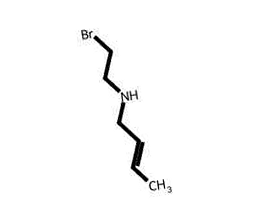 C/C=C/CNCCBr